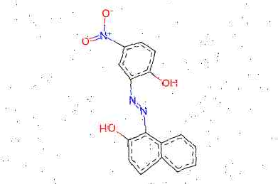 O=[N+]([O-])c1ccc(O)c(/N=N/c2c(O)ccc3ccccc23)c1